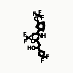 O=C(CC(O)C1CC(F)(F)C1)NC(COC(F)F)c1cccc(OC(F)(F)F)c1